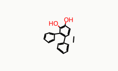 CC.Oc1ccc(-c2ccccc2)c(-c2ccccc2)c1O